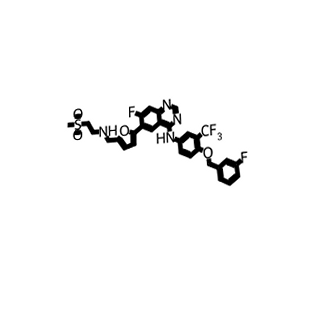 CS(=O)(=O)CCNCc1ccc(-c2cc3c(Nc4ccc(OCc5cccc(F)c5)c(C(F)(F)F)c4)ncnc3cc2F)o1